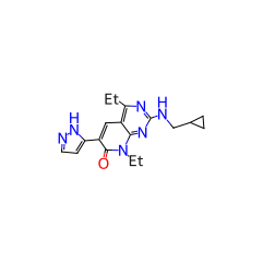 CCc1nc(NCC2CC2)nc2c1cc(-c1ccn[nH]1)c(=O)n2CC